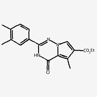 CCOC(=O)c1cn2nc(-c3ccc(C)c(C)c3)[nH]c(=O)c2c1C